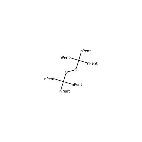 CCCCCC(CCCCC)(CCCCC)OOC(CCCCC)(CCCCC)CCCCC